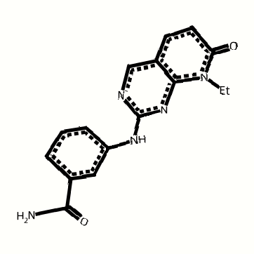 CCn1c(=O)ccc2cnc(Nc3cccc(C(N)=O)c3)nc21